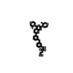 C[C@H]1COCCN1c1nc(N2CCOC[C@@H]2C)c2ccc(-c3cccc(Cc4cccc(NS(=O)(=O)CCO)c4)c3)nc2n1